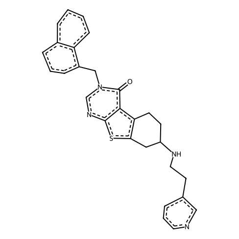 O=c1c2c3c(sc2ncn1Cc1cccc2ccccc12)CC(NCCc1cccnc1)CC3